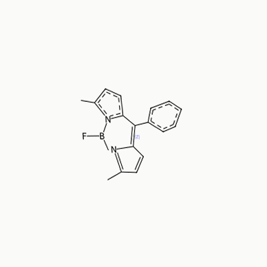 CB(F)n1c(C)ccc1/C(=C1/C=CC(C)=N1)c1ccccc1